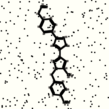 CNc1ccc(Cn2nc(-c3nc(-c4ccc(COC)cc4)no3)cc2C)cn1